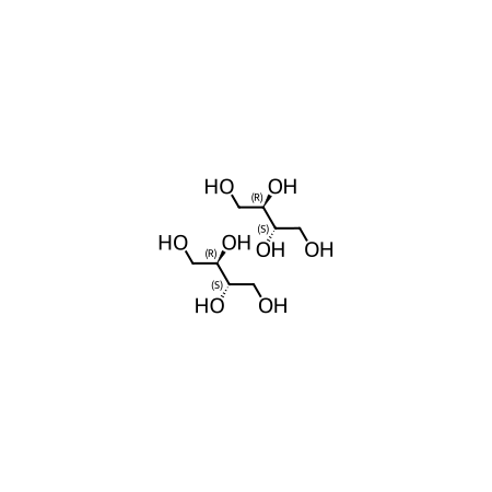 OC[C@@H](O)[C@@H](O)CO.OC[C@@H](O)[C@@H](O)CO